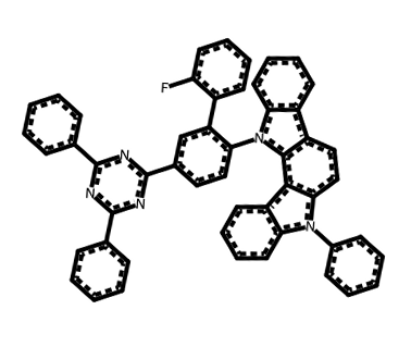 Fc1ccccc1-c1cc(-c2nc(-c3ccccc3)nc(-c3ccccc3)n2)ccc1-n1c2ccccc2c2ccc3c(c4ccccc4n3-c3ccccc3)c21